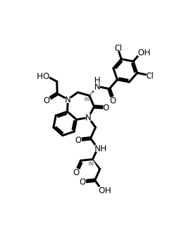 O=C[C@H](CC(=O)O)NC(=O)CN1C(=O)[C@@H](NC(=O)c2cc(Cl)c(O)c(Cl)c2)CN(C(=O)CO)c2ccccc21